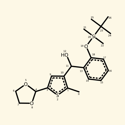 Cc1sc(C2OCCO2)cc1C(O)c1ccccc1O[Si](C)(C)C(C)(C)C